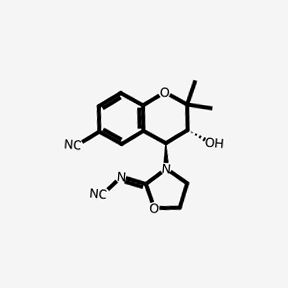 CC1(C)Oc2ccc(C#N)cc2[C@H](N2CCOC2=NC#N)[C@H]1O